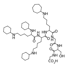 O=C(O)CNC(=O)C(CO)NC(=O)CNC(=O)C(CCCCNC1CCCCCC1)NC(=O)C(CCCCNC1CCCCC1)NC(=O)C(CCCCNC1CCCCC1)NC1CCCCC1